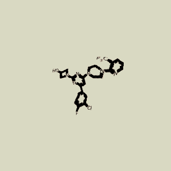 OC1CN(c2nc(-c3ccc(F)c(Cl)c3)cc(N3CCN(c4ncccc4C(F)(F)F)CC3)n2)C1